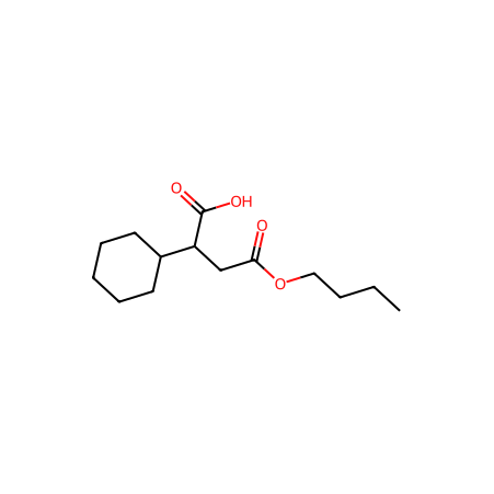 CCCCOC(=O)CC(C(=O)O)C1CCCCC1